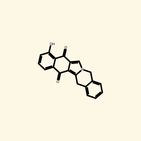 O=C1c2cn3c(c2C(=O)c2cccc(O)c21)Cc1ccccc1C3